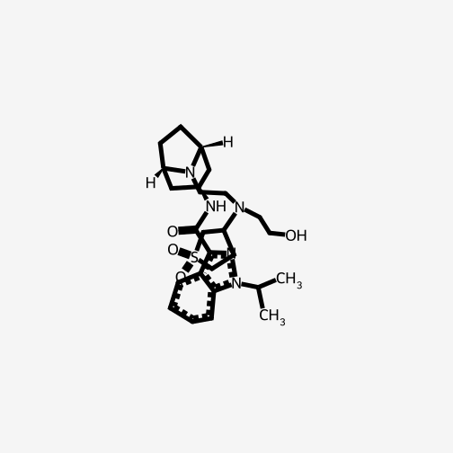 CC(C)n1nc(C(=O)N[C@@H]2C[C@H]3CC[C@@H](C2)N3CCN(CCO)C2CCS(=O)(=O)C2)c2ccccc21